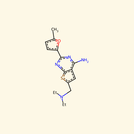 CCN(CC)Cc1cc2c(N)nc(-c3ccc(C)o3)nc2s1